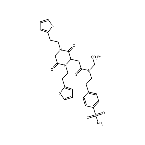 CCOC(=O)CN(CCc1ccc(S(N)(=O)=O)cc1)C(=O)CC1C(=O)N(CCc2cccs2)CC(=O)N1CCc1cccs1